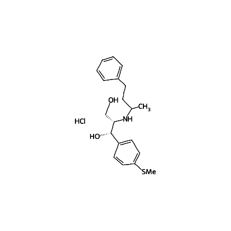 CSc1ccc([C@H](O)[C@H](CO)NC(C)CCc2ccccc2)cc1.Cl